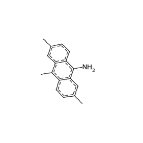 Cc1ccc2c(N)c3cc(C)ccc3c(C)c2c1